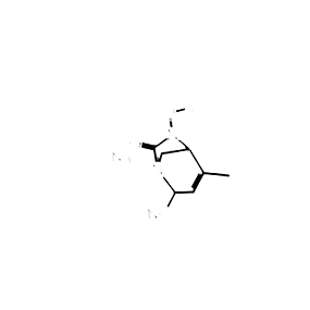 CC1=CC(C#N)N2CC1N(OS(=O)(=O)O)C2=O.[NaH]